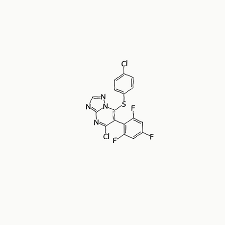 Fc1cc(F)c(-c2c(Cl)nc3ncnn3c2Sc2ccc(Cl)cc2)c(F)c1